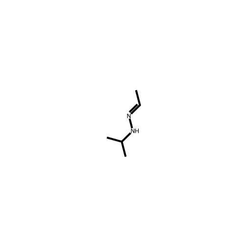 CC=NNC(C)C